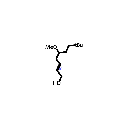 COC(C/C=C/CO)CCC(C)(C)C